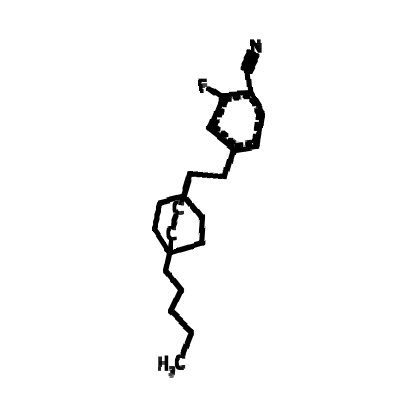 CCCCCC12CCC(CCc3ccc(C#N)c(F)c3)(CC1)CC2